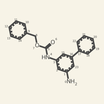 Nc1cc(NC(=O)OCc2ccccc2)cc(-c2ccccc2)c1